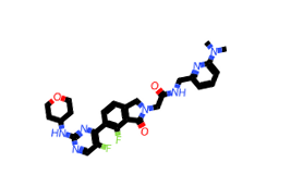 CN(C)c1cccc(CNC(=O)CN2Cc3ccc(-c4nc(NC5CCOCC5)ncc4F)c(F)c3C2=O)n1